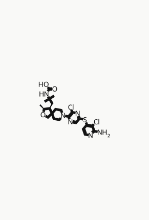 C[C@@H]1OCC2(CCN(c3ncc(Sc4ccnc(N)c4Cl)nc3Cl)CC2)[C@@H]1CC(C)(C)NC(=O)O